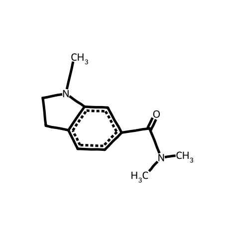 CN(C)C(=O)c1ccc2c(c1)N(C)CC2